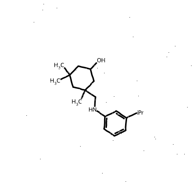 CC(C)c1cccc(NCC2(C)CC(O)CC(C)(C)C2)c1